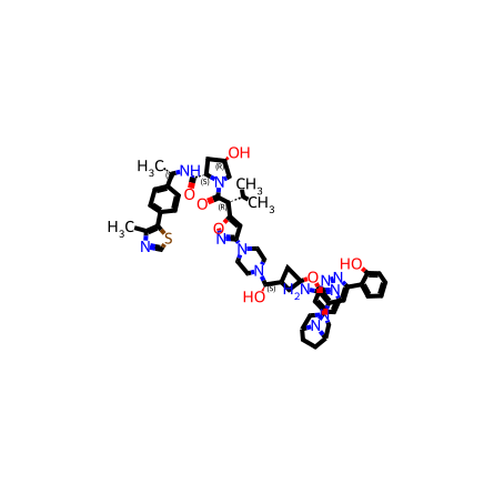 Cc1ncsc1-c1ccc([C@H](C)NC(=O)[C@@H]2C[C@@H](O)CN2C(=O)[C@@H](c2cc(N3CCN([C@@H](O)C4CC(Oc5cc(N6C7CCC6CN(c6cc(-c8ccccc8O)nnc6N)C7)ccn5)C4)CC3)no2)C(C)C)cc1